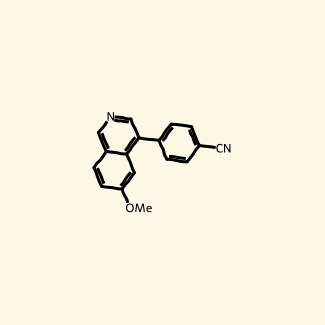 COc1ccc2cncc(-c3ccc(C#N)cc3)c2c1